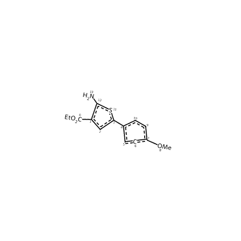 CCOC(=O)c1cc(-c2ccc(OC)cc2)sc1N